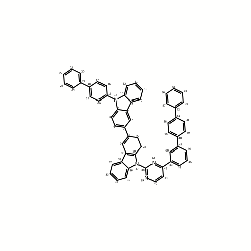 C1=C(c2ccc3c(c2)c2ccccc2n3-c2ccc(-c3ccccc3)cc2)CCc2c1c1ccccc1n2-c1nccc(-c2cccc(-c3ccc(-c4ccccc4)cc3)c2)n1